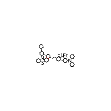 CCC1(CC)c2cc(/C=C/c3ccc(-c4cc(-c5ccccc5)ccc4N4c5ccccc5Sc5ccccc54)cc3)ccc2-c2ccc(N(c3ccccc3)c3ccccc3)cc21